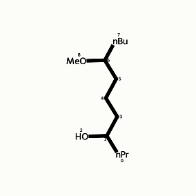 [CH2]CCC(O)CCCC(CCCC)OC